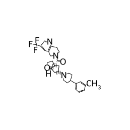 Cc1cccc(C2CCN([C@@H]3C[C@H]4OCC[C@@]4(C(=O)N4CCc5ncc(C(F)(F)F)cc5C4)C3)CC2)c1